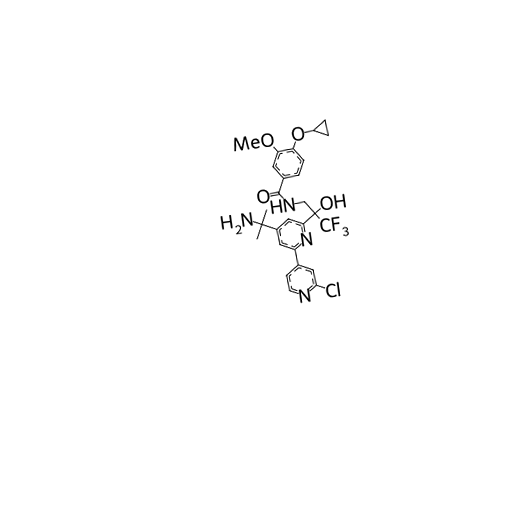 COc1cc(C(=O)NCC(O)(c2cc(C(C)(C)N)cc(-c3ccnc(Cl)c3)n2)C(F)(F)F)ccc1OC1CC1